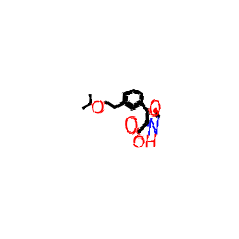 CC(C)OCCc1cccc(-c2ocnc2C(=O)O)c1